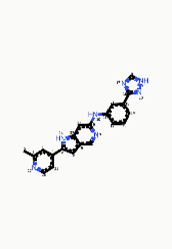 Cc1cc(-c2cc3cnc(Nc4cccc(-c5nc[nH]n5)c4)cc3[nH]2)ccn1